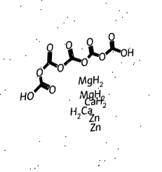 O=C(O)OC(=O)OC(=O)OC(=O)OC(=O)O.[CaH2].[CaH2].[MgH2].[MgH2].[Zn].[Zn]